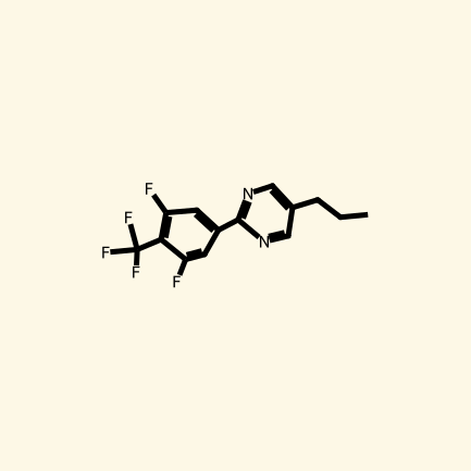 CCCc1cnc(-c2cc(F)c(C(F)(F)F)c(F)c2)nc1